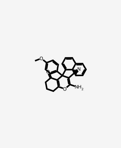 COc1ccc(C2(c3cccc4ccccc34)C(C#N)=C(N)OC3=C2C(=O)CCC3)cc1